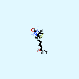 CC(C)C(=O)CCCC[C@@H]1SC[C@H]2NC(=O)N[C@@H]12